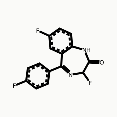 O=C1Nc2ccc(F)cc2C(c2ccc(F)cc2)=NC1F